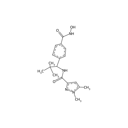 Cc1cc(C(=O)NC(c2ccc(C(=O)NO)cc2)C(C)(C)C)nn1C